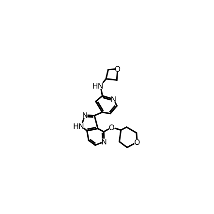 c1cc(-c2n[nH]c3ccnc(OC4CCOCC4)c23)cc(NC2COC2)n1